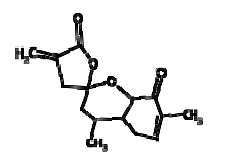 C=C1CC2(CC(C)C3CC=C(C)C(=O)C3O2)OC1=O